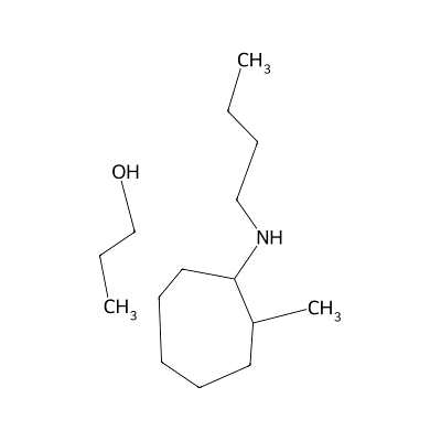 CCCCNC1CCCCCC1C.CCCO